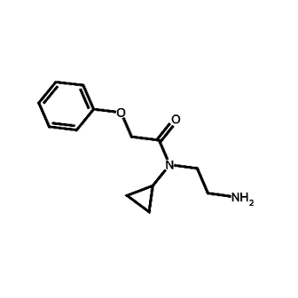 NCCN(C(=O)COc1ccccc1)C1CC1